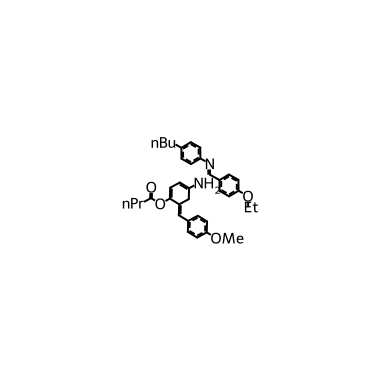 CCCC(=O)OC1=CC=C(N)CC1=Cc1ccc(OC)cc1.CCCCc1ccc(N=Cc2ccc(OCC)cc2)cc1